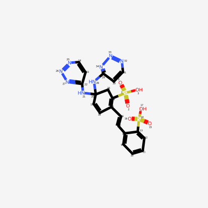 O=S(=O)(O)C1=C(C=Cc2ccccc2S(=O)(=O)O)C=CC(Nc2ccnnn2)(Nc2ccnnn2)C1